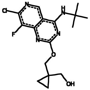 CC(C)(C)Nc1nc(OCC2(CO)CC2)nc2c(F)c(Cl)ncc12